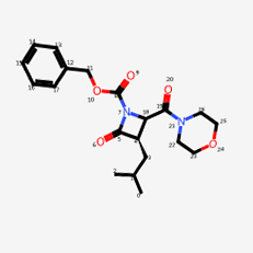 CC(C)C[C@H]1C(=O)N(C(=O)OCc2ccccc2)C1C(=O)N1CCOCC1